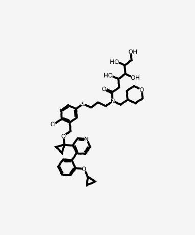 O=C(CC(O)C(O)C(O)CO)N(CCCSc1ccc(Cl)c(COC2(c3cnccc3-c3ccccc3OC3CC3)CC2)c1)CC1CCOCC1